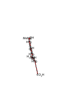 C=C(O)[C@H](CCC(=O)NCCOCCOCC(=O)NCCOCCOCC(=O)NCCCC[C@H](NC)C(=O)CO)NC(=O)[C@H]1CC[C@H](CNC(=O)CCCCCCCCCCCCCCCCCCC(=O)O)CC1